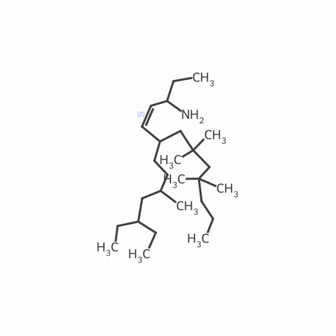 CCCC(C)(C)CC(C)(C)CC(/C=C\C(N)CC)CCC(C)CC(CC)CC